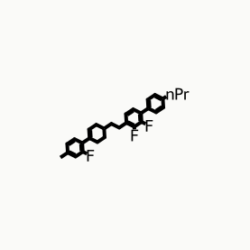 CCCc1ccc(-c2ccc(CCC3CC=C(c4ccc(C)cc4F)CC3)c(F)c2F)cc1